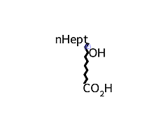 CCCCCCC/C=C/C(O)CCCCCCCC(=O)O